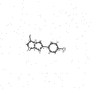 Cc1coc2nc(-c3ccc(Cl)cc3)cn12